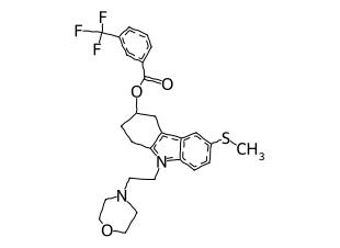 CSc1ccc2c(c1)c1c(n2CCN2CCOCC2)CCC(OC(=O)c2cccc(C(F)(F)F)c2)C1